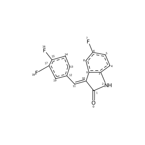 O=C1Nc2ccc(F)cc2/C1=C\c1ccc(F)c(F)c1